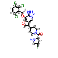 C[C@@H](Oc1c(N)ncc2c(C3=CCN(C(=O)[C@@H]4C[C@@H](F)CN4)CC3)coc12)c1c(Cl)ccc(F)c1Cl